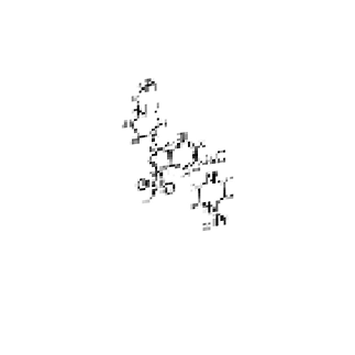 CC(C)CN1CC=C(c2cn(S(C)(=O)=O)c3cc(C(=O)N4CCN(C(C)C)CC4)ccc23)CC1